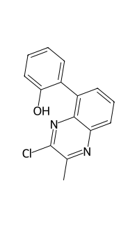 Cc1nc2cccc(-c3ccccc3O)c2nc1Cl